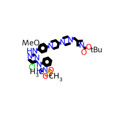 COc1cc(N2CCC(N3CCN(CC4CN(C(=O)OC(C)(C)C)C4)CC3)CC2)ccc1Nc1ncc(Cl)c(Nc2ccccc2N(C)S(C)(=O)=O)n1